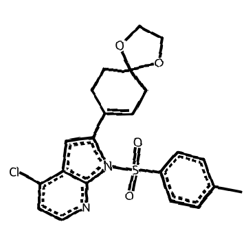 Cc1ccc(S(=O)(=O)n2c(C3=CCC4(CC3)OCCO4)cc3c(Cl)ccnc32)cc1